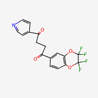 O=C(CCC(=O)c1ccc2c(c1)OC(F)(F)C(F)(F)O2)c1ccncc1